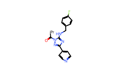 CC(C)C(=O)n1nc(-c2ccncc2)nc1NCc1ccc(F)cc1